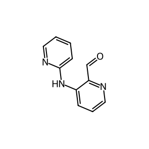 O=Cc1ncccc1Nc1ccccn1